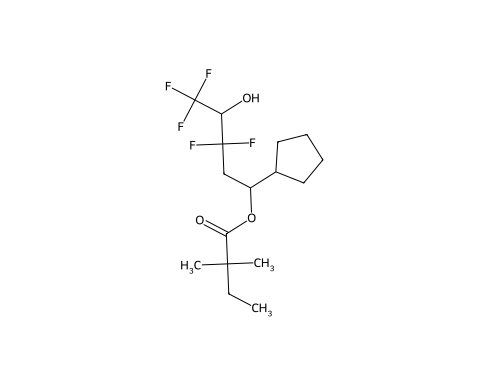 CCC(C)(C)C(=O)OC(CC(F)(F)C(O)C(F)(F)F)C1CCCC1